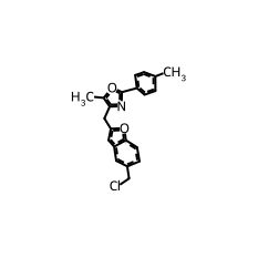 Cc1ccc(-c2nc(Cc3cc4cc(CCl)ccc4o3)c(C)o2)cc1